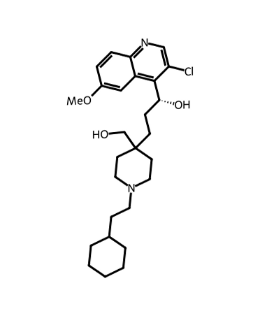 COc1ccc2ncc(Cl)c([C@H](O)CCC3(CO)CCN(CCC4CCCCC4)CC3)c2c1